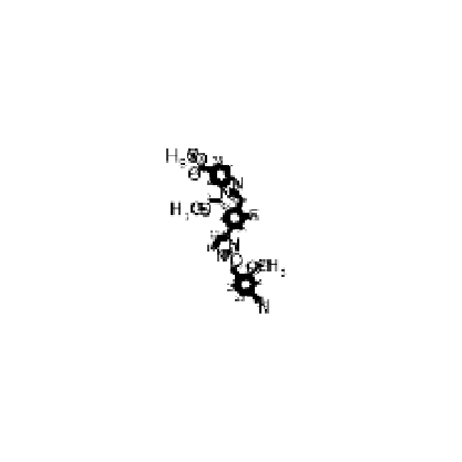 COCCn1c(Cc2ccc(-c3ccnc(OCc4ccc(C#N)cc4OC)n3)cc2F)nc2ccc(C(=O)OC)cc21